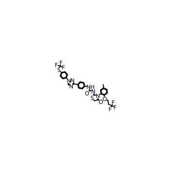 Cc1ccc(OCCC(F)(F)F)c(N2C(=O)CS/C2=N\C(=O)Nc2ccc(-c3ncn(-c4ccc(SC(F)(F)F)cc4)n3)cc2)c1